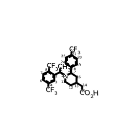 CC(c1cc(C(F)(F)F)ccc1C(F)(F)F)N1CCC(CC(=O)O)CC1c1ccc(C(F)(F)F)cc1